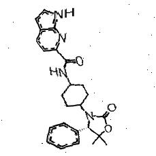 CC1(C)OC(=O)N(C2CCC(NC(=O)c3ccc4cc[nH]c4n3)CC2)[C@H]1c1ccccc1